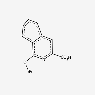 CC(C)Oc1nc(C(=O)O)cc2ccccc12